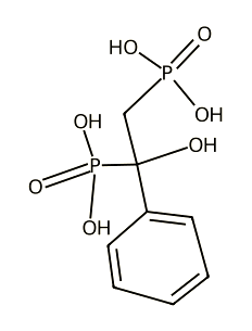 O=P(O)(O)CC(O)(c1ccccc1)P(=O)(O)O